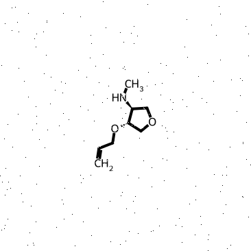 C=CCO[C@H]1COC[C@@H]1NC